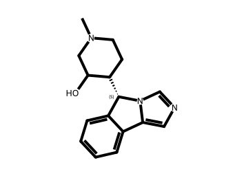 CN1CCC([C@H]2c3ccccc3-c3cncn32)C(O)C1